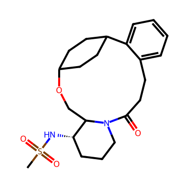 CS(=O)(=O)N[C@H]1CCCN2C(=O)CCc3ccccc3C3CCC(CC3)OCC12